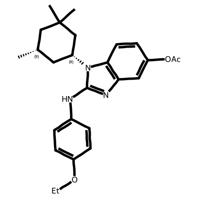 CCOc1ccc(Nc2nc3cc(OC(C)=O)ccc3n2[C@@H]2C[C@H](C)CC(C)(C)C2)cc1